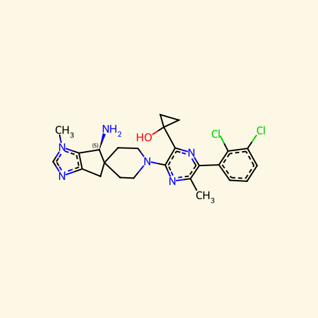 Cc1nc(N2CCC3(CC2)Cc2ncn(C)c2[C@H]3N)c(C2(O)CC2)nc1-c1cccc(Cl)c1Cl